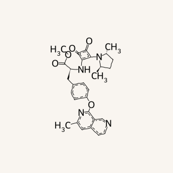 COC(=O)[C@H](Cc1ccc(Oc2nc(C)cc3ccncc23)cc1)Nc1c(N2[C@H](C)CC[C@H]2C)c(=O)c1=O